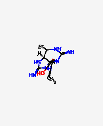 CCC1NC(=N)N2CC[C@@](C)(O)[C@@]23NC(=N)N[C@@H]13